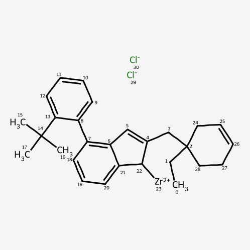 CCC1(CC2=Cc3c(-c4ccccc4C(C)(C)C)cccc3[CH]2[Zr+2])CC=CCC1.[Cl-].[Cl-]